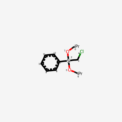 CC(C)O[Si](CCl)(OC(C)C)c1ccccc1